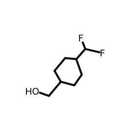 OCC1CCC(C(F)F)CC1